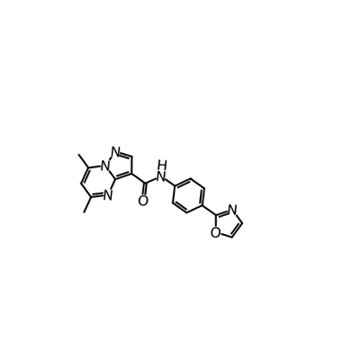 Cc1cc(C)n2ncc(C(=O)Nc3ccc(-c4ncco4)cc3)c2n1